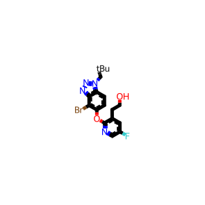 CC(C)(C)Cn1nnc2c(Br)c(Oc3ncc(F)cc3CCO)ccc21